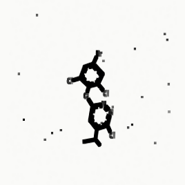 CC(C)c1cc(Oc2c(Cl)cc(Br)cc2Cl)nnc1Cl